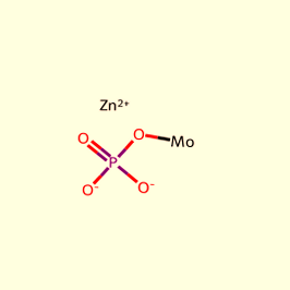 O=P([O-])([O-])[O][Mo].[Zn+2]